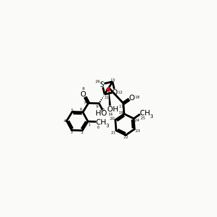 Cc1ccccc1C(=O)C(O)[C@@]12O[C](C[C@@]1(O)C(=O)c1ccccc1C)S2